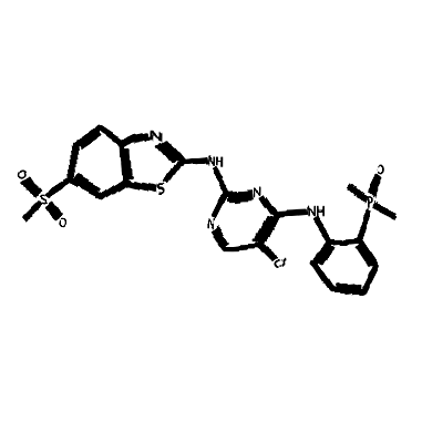 CP(C)(=O)c1ccccc1Nc1nc(Nc2nc3ccc(S(C)(=O)=O)cc3s2)ncc1Cl